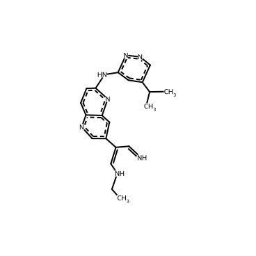 CCN/C=C(\C=N)c1cnc2ccc(Nc3cc(C(C)C)cnn3)nc2c1